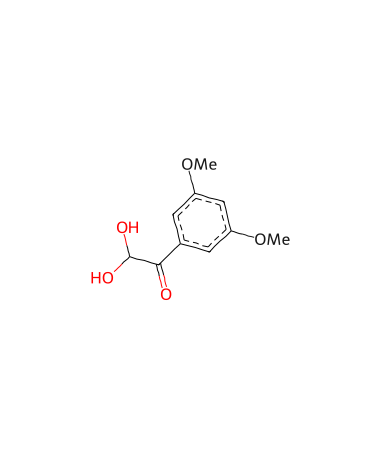 COc1cc(OC)cc(C(=O)C(O)O)c1